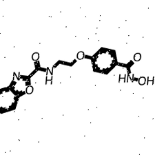 O=C(NO)c1ccc(OCCNC(=O)c2nc3ccccc3o2)cc1